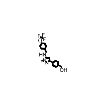 Cn1nc(-c2ccc(CO)cc2)cc1NCc1ccc(OC(F)(F)F)cc1